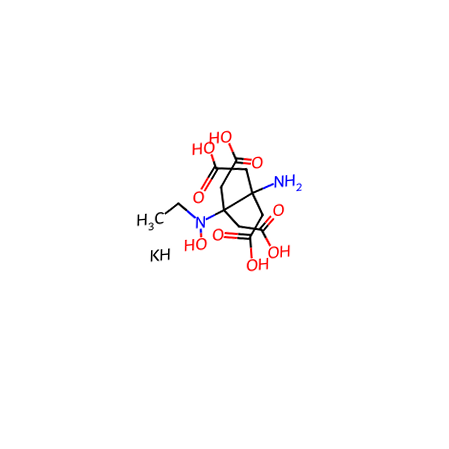 CCN(O)C(CC(=O)O)(CC(=O)O)C(N)(CC(=O)O)CC(=O)O.[KH]